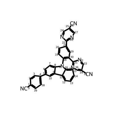 N#Cc1ccc(-c2ccc3c(c2)c2ccccc2n3-c2ccc(-c3ncc(C#N)cn3)cc2-c2ncc(C#N)cn2)cc1